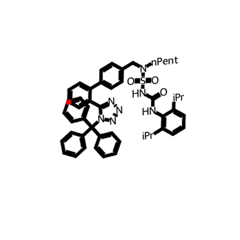 CCCCCN(Cc1ccc(-c2ccccc2-c2nnnn2C(c2ccccc2)(c2ccccc2)c2ccccc2)cc1)S(=O)(=O)NC(=O)Nc1c(C(C)C)cccc1C(C)C